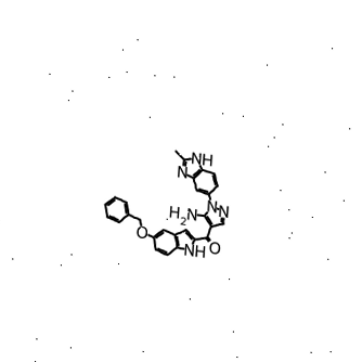 Cc1nc2cc(-n3ncc(C(=O)c4cc5cc(OCc6ccccc6)ccc5[nH]4)c3N)ccc2[nH]1